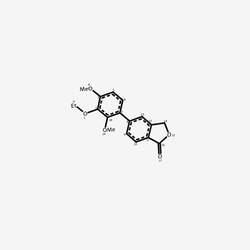 CCOc1c(OC)ccc(-c2ccc3c(c2)COC3=O)c1OC